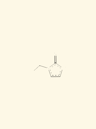 CC(C)Cn1ccsc1=N